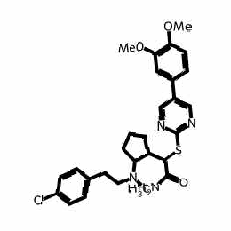 COc1ccc(-c2cnc(SC(C(N)=O)C3CCCC3N(C)CCc3ccc(Cl)cc3)nc2)cc1OC